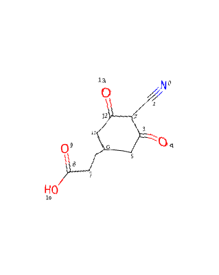 N#CC1C(=O)CC(CC(=O)O)CC1=O